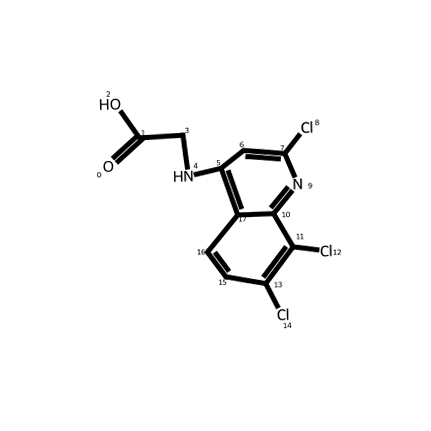 O=C(O)CNc1cc(Cl)nc2c(Cl)c(Cl)ccc12